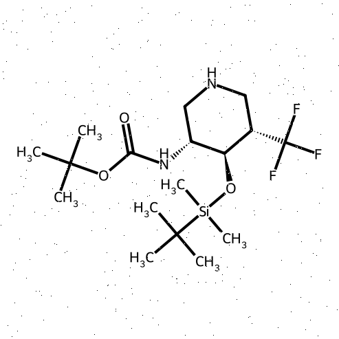 CC(C)(C)OC(=O)N[C@@H]1CNC[C@H](C(F)(F)F)[C@H]1O[Si](C)(C)C(C)(C)C